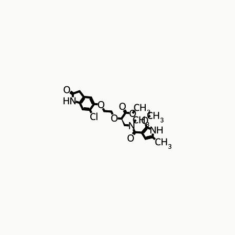 COC(=O)[C@@H](CN(C)C(=O)c1cc(C)[nH]c1OC)OCCOc1cc2c(cc1Cl)NC(=O)C2